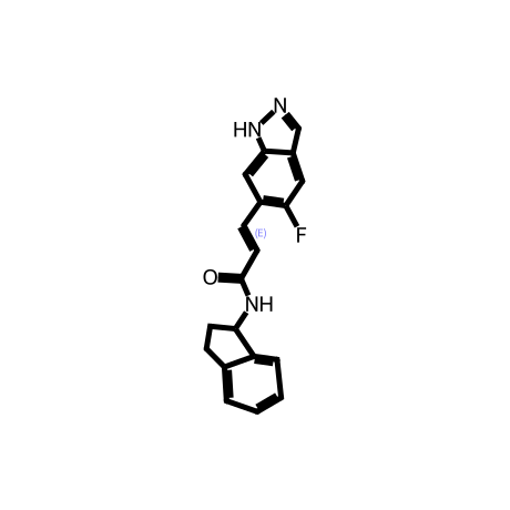 O=C(/C=C/c1cc2[nH]ncc2cc1F)NC1CCc2ccccc21